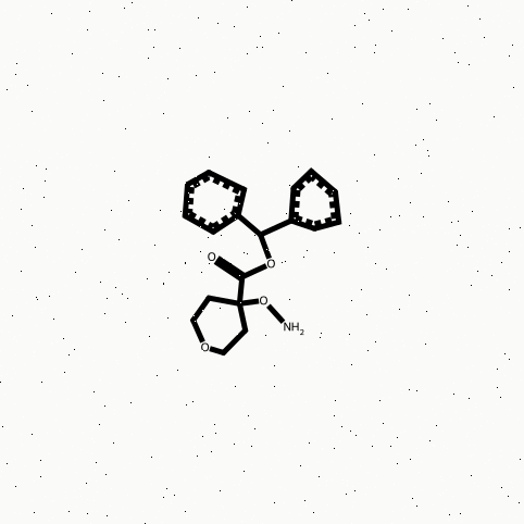 NOC1(C(=O)OC(c2ccccc2)c2ccccc2)CCOCC1